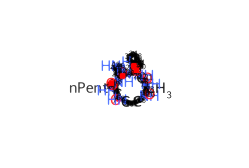 CCCCCC(=O)N[C@H]1CC(=O)NCCCCCNC(=O)[C@H](C)NC(=O)CNC(=O)[C@@H](Cc2cccc3ccccc23)NC(=O)[C@H](Cc2c[nH]cn2)NC1=O